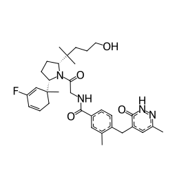 Cc1cc(Cc2ccc(C(=O)NCC(=O)N3[C@H](C4(C)C=C(F)C=CC4)CC[C@@H]3C(C)(C)CCCO)cc2C)c(=O)[nH]n1